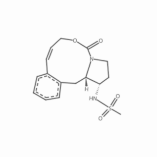 CS(=O)(=O)N[C@H]1CCN2C(=O)OC/C=C\c3ccccc3C[C@@H]12